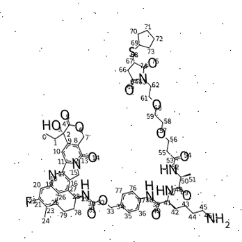 CC[C@@]1(O)C(=O)OCc2c1cc1n(c2=O)Cc2c-1nc1cc(F)c(C)c3c1c2[C@@H](NC(=O)OCc1ccc(NC(=O)[C@H](CCCCN)NC(=O)[C@H](C)NC(=O)CCOCCOCCN2C(=O)CC(SC4CCCC4)C2=O)cc1)CC3